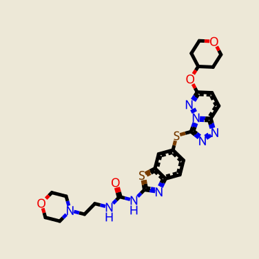 O=C(NCCN1CCOCC1)Nc1nc2ccc(Sc3nnc4ccc(OC5CCOCC5)nn34)cc2s1